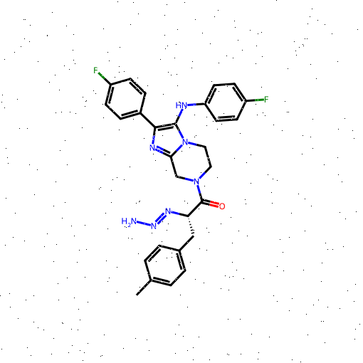 Cc1ccc(C[C@H](N=NN)C(=O)N2CCn3c(nc(-c4ccc(F)cc4)c3Nc3ccc(F)cc3)C2)cc1